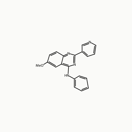 COc1ccc2nc(-c3cccnc3)nc(Nc3ccccc3)c2c1